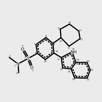 CN(C)S(=O)(=O)c1ccc(C2CCCCC2)c(-c2cc3ccccc3[nH]2)c1